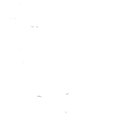 O=C(OC[C@H](O)[C@H](O)CO)c1ccc(CCC[C@@H]2[C@@H](CCc3cc(Cl)cc(Cl)c3)[C@H](O)C[C@H]2Cl)s1